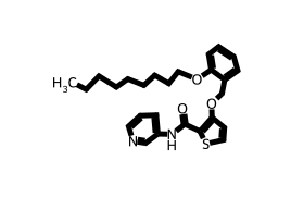 CCCCCCCCCOc1ccccc1COc1ccsc1C(=O)Nc1cccnc1